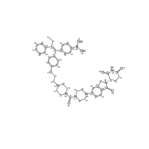 CC/C(=C(/c1ccc(OCCN2CCN(C(=O)N3CCN(c4ccc5c(c4)CN([C@H]4CCC(=O)NC4=O)C5=O)CC3)CC2)cc1)c1ccc(B(O)O)cc1)c1ccccc1